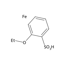 CCOc1ccccc1S(=O)(=O)O.[Fe]